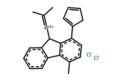 C[C](C)=[Zr+2][CH]1c2ccccc2-c2c(C)ccc(C3=CC=CC3)c21.[Cl-].[Cl-]